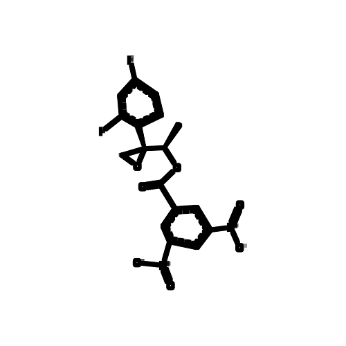 C[C@@H](OC(=O)c1cc([N+](=O)[O-])cc([N+](=O)[O-])c1)[C@@]1(c2ccc(F)cc2F)CO1